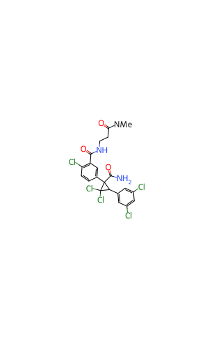 CNC(=O)CCNC(=O)c1cc(C2(C(N)=O)C(c3cc(Cl)cc(Cl)c3)C2(Cl)Cl)ccc1Cl